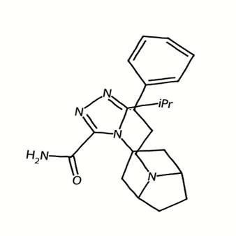 CC(C)c1nnc(C(N)=O)n1C1CC2CCC(C1)N2CC[CH]c1ccccc1